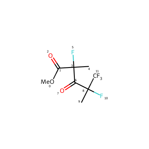 COC(=O)C(C)(F)C(=O)C(C)(F)C(F)(F)F